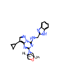 c1ccc2[nH]c(CNc3nc(N4C[C@@H]5C[C@H]4CO5)nc4c(C5CC5)cnn34)nc2c1